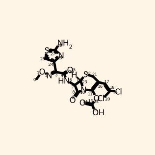 CON=C(C(=O)NC1C(=O)N2C(OC(=O)O)=C(C=C(Cl)Cl)CS[C@@H]12)c1csc(N)n1